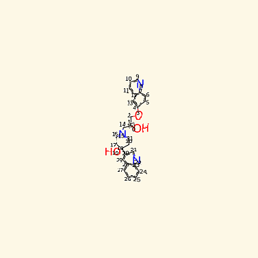 O[C@H](COc1ccc2ncccc2c1)CN1CCC(O)(c2cnc3ccccc3c2)CC1